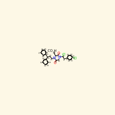 O=C(O)CC1C(=O)N(C(Cl)Cc2ccc(Cl)cc2)CC(=O)N1CCC(c1ccccc1)c1ccccc1